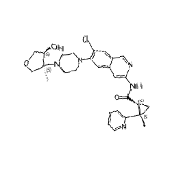 C[C@]1(N2CCN(c3cc4cc(NC(=O)[C@H]5C[C@]5(C)c5ccccn5)ncc4cc3Cl)CC2)COC[C@H]1O